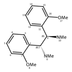 CN[C@H](c1ccccc1OC)[C@H](NC)c1ccccc1OC